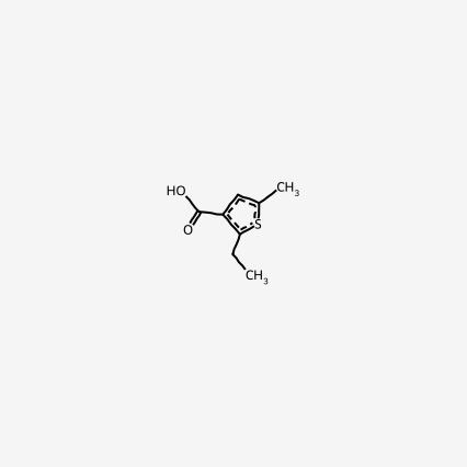 CCc1sc(C)cc1C(=O)O